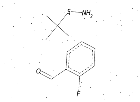 CC(C)(C)SN.O=Cc1ccccc1F